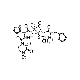 CCN1CCN(C(=O)NC(C(=O)N[C@]2(N)C(=O)N3[C@@H](C(=O)OCc4ccccc4)C(C)(C)S[C@@H]32)c2cccs2)C(=O)C1=O